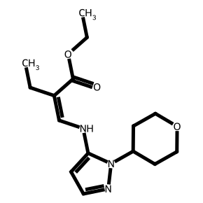 CCOC(=O)/C(=C\Nc1ccnn1C1CCOCC1)CC